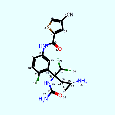 N#Cc1csc(C(=O)Nc2ccc(F)c([C@](NC(N)=O)(C(F)F)[C@H]3C[C@H]3N)c2)c1